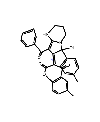 Cc1ccc(C2(O)/C(=C3/C(=O)Oc4ccc(C)cc4C3=O)C(C(=O)c3ccccc3)=C3NCCCN32)cc1